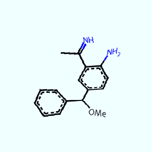 COC(c1ccccc1)c1ccc(N)c(C(C)=N)c1